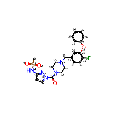 CS(=O)(=O)Nc1ccn(C(=O)N2CCN(Cc3ccc(F)c(Oc4ccccc4)c3)CC2)n1